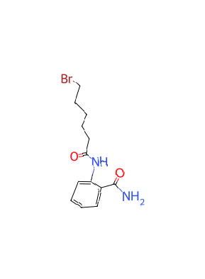 NC(=O)c1ccccc1NC(=O)CCCCCBr